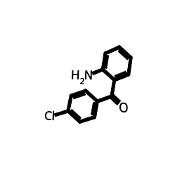 Nc1ccccc1C(=O)c1ccc(Cl)cc1